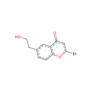 CCc1cc(=O)c2cc(CCO)ccc2o1